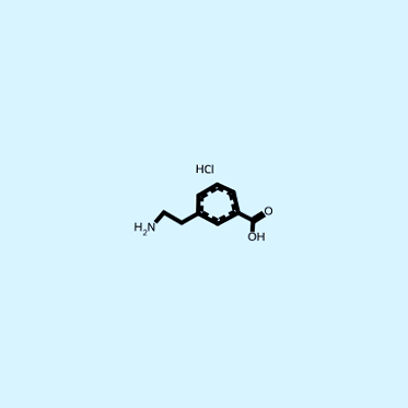 Cl.NCCc1cccc(C(=O)O)c1